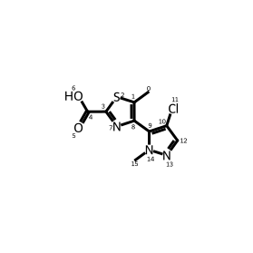 Cc1sc(C(=O)O)nc1-c1c(Cl)cnn1C